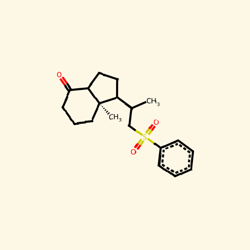 CC(CS(=O)(=O)c1ccccc1)C1CCC2C(=O)CCC[C@@]21C